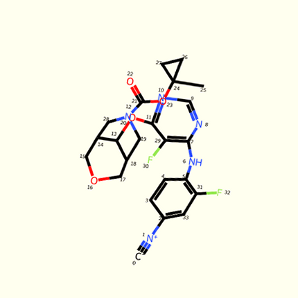 [C-]#[N+]c1ccc(Nc2ncnc(OC3C4COCC3CN(C(=O)OC3(C)CC3)C4)c2F)c(F)c1